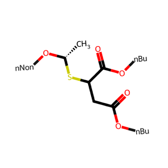 CCCCCCCCCO[C@H](C)SC(CC(=O)OCCCC)C(=O)OCCCC